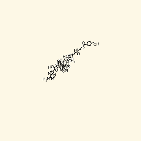 CC(C)(COP(=O)(O)OP(=O)(O)OC[C@H]1O[C@@H](n2cnc3c(N)ncnc32)[C@H](O)[C@@H]1OP(=O)(O)O)[C@@H](O)C(=O)NCCC(=O)NCCSC(=O)C1CCC(CO)CC1